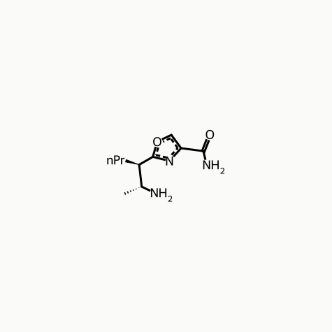 CCC[C@@H](c1nc(C(N)=O)co1)[C@@H](C)N